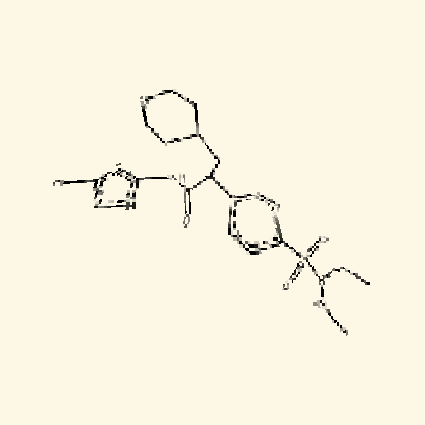 CCN(NC)S(=O)(=O)c1ccc(C(CC2CCOCC2)C(=O)Nc2ncc(Cl)s2)cc1